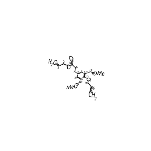 C=CCOC(=O)CCc1cc(COC)c(OCC=C)c(COC)c1